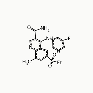 CCS(=O)(=O)c1cc(C)c2ncc(C(N)=O)c(Nc3cncc(F)c3)c2c1